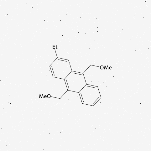 CCc1ccc2c(COC)c3ccccc3c(COC)c2c1